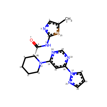 Cc1cnc(NC(=O)[C@H]2CCCCN2c2cc(-n3cccn3)ncn2)s1